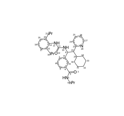 CCCNC(=O)c1cccc(C(NC(=O)Nc2c(C(C)C)cccc2C(C)C)C(c2ccccn2)C2CCCCC2)c1